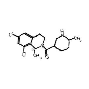 CC1CCC(C(=O)N2CCc3cc(Cl)cc(Cl)c3[C@@H]2C)CN1